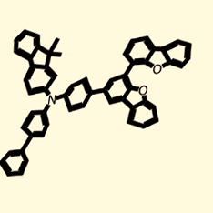 CC1(C)c2ccccc2-c2ccc(N(c3ccc(-c4ccccc4)cc3)c3ccc(-c4cc(-c5cccc6c5oc5ccccc56)c5oc6ccccc6c5c4)cc3)cc21